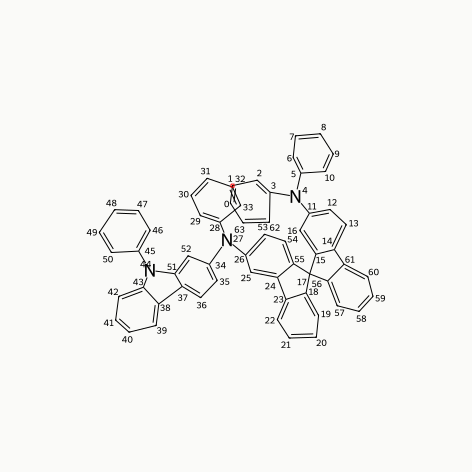 c1ccc(N(c2ccccc2)c2ccc3c(c2)C2(c4ccccc4-c4cc(N(c5ccccc5)c5ccc6c7ccccc7n(-c7ccccc7)c6c5)ccc42)c2ccccc2-3)cc1